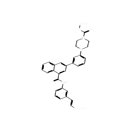 CCOC(=O)C=Cc1cccc(NC(=O)c2cc(-c3cccc(N4CCN(C(=O)OC(C)(C)C)CC4)c3)cc3ccccc23)c1